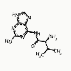 CC(C)[C@H](N)C(=O)Nc1nc(O)nc2[nH]cnc12